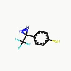 FC(F)(F)C1(c2ccc(S)cc2)N=N1